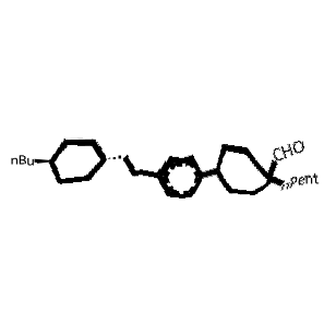 CCCCCC1(C=O)CCC(c2ccc(CC[C@H]3CC[C@H](CCCC)CC3)cc2)CC1